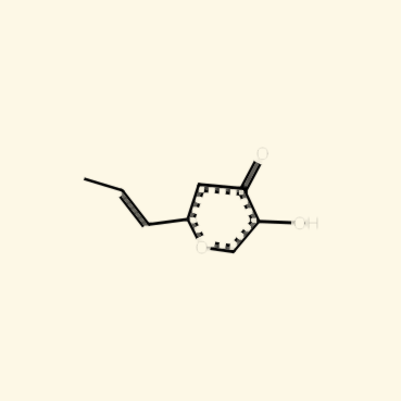 C/C=C/c1cc(=O)c(O)co1